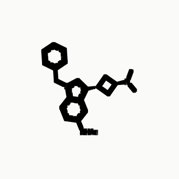 CC(=O)Nc1ccc2c(c1)c([C@H]1C[C@H](N(C)C)C1)cn2Cc1ccccc1